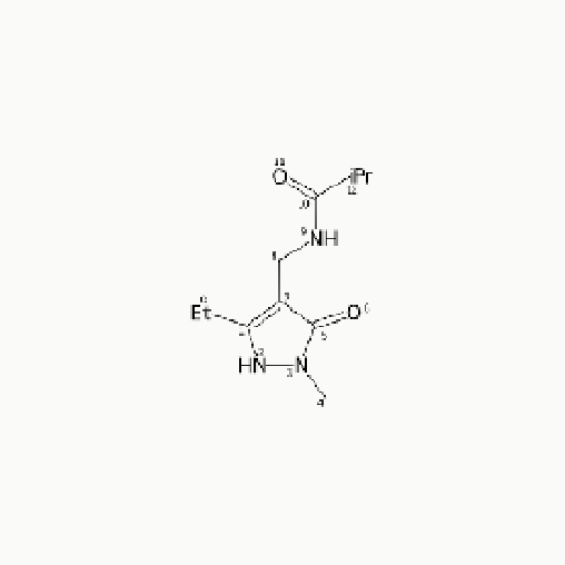 CCc1[nH]n(C)c(=O)c1CNC(=O)C(C)C